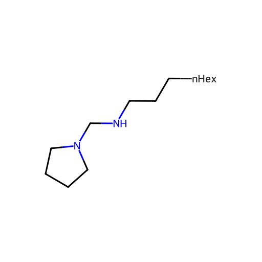 CCCCCCCCCNCN1CCCC1